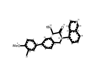 COc1ccc(-c2ccc(CN(C(=O)CC(C)(C)C)c3cccc4cnccc34)cc2)cc1C